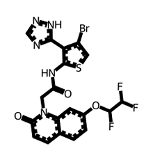 O=C(Cn1c(=O)ccc2ccc(OC(F)C(F)F)cc21)Nc1scc(Br)c1-c1ncn[nH]1